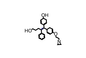 OCCC/C(=C(\C1=CCC(O)C=C1)C1C=CC(OCCN2CC2)=CC1)c1ccccc1